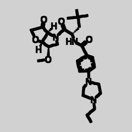 CCCN1CCN(c2ccc(C(=O)N[C@@H](CC(C)(C)C)C(=O)N3C[C@@H](OC)[C@H]4OCC(=O)[C@H]43)cc2)CC1